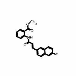 COC(=O)c1ccccc1NC(=O)C=Cc1ccc2cc(F)ccc2c1